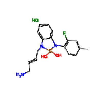 Cc1ccc(N2c3ccccc3N(CC=CCN)S2(O)O)c(F)c1.Cl